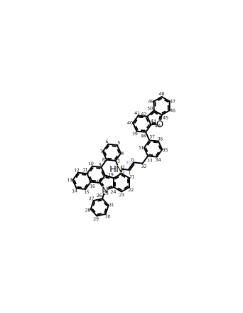 C(=C\Nc1ccccc1-c1cc2ccccc2c2c1c1ccccc1n2-c1ccccc1)/Cc1cccc(-c2cccc3c2oc2ccccc23)c1